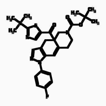 CC(C)(C)OC(=O)N1CCC2=Cc3c(cnn3-c3ccc(F)cc3)CC2(C(=O)c2cnc([Si](C)(C)C)s2)C1